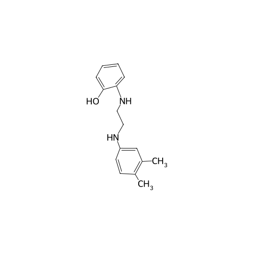 Cc1ccc(NCCNc2ccccc2O)cc1C